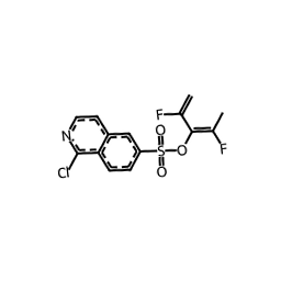 C=C(F)/C(OS(=O)(=O)c1ccc2c(Cl)nccc2c1)=C(\C)F